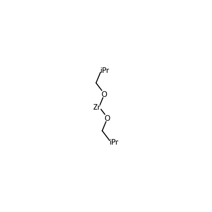 CC(C)C[O][Zr][O]CC(C)C